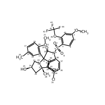 COc1ccc(S(=O)(=O)N2C(=O)C(c3cc(C)ccc3OC)(N3C[C@H](O)C[C@@]3(C)C(=O)O)c3cc(Cl)ccc32)c(OC(F)(F)F)c1